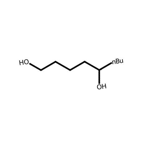 CCCC[C](O)CCCCO